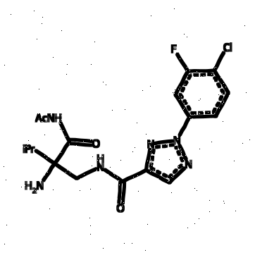 CC(=O)NC(=O)C(N)(CNC(=O)c1cnn(-c2ccc(Cl)c(F)c2)n1)C(C)C